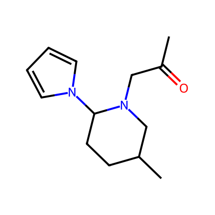 CC(=O)CN1CC(C)CCC1n1cccc1